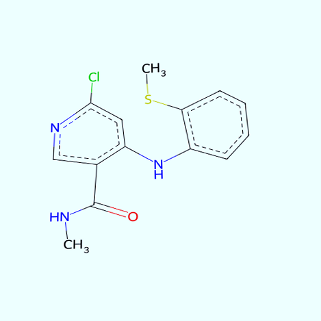 CNC(=O)c1cnc(Cl)cc1Nc1ccccc1SC